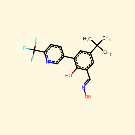 CC(C)(C)c1cc(C=NO)c(O)c(-c2ccc(C(F)(F)F)nc2)c1